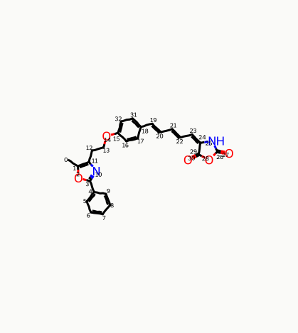 Cc1oc(-c2ccccc2)nc1CCOc1ccc(C=CC=CC=C2NC(=O)OC2=O)cc1